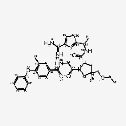 CCOC[C@@]1(F)C[C@@H](C(=O)N[C@H](C)c2cc(C(=N)N)cs2)N(C(=O)CNC(=O)c2ccc(Oc3ccccc3)c(C)c2)C1